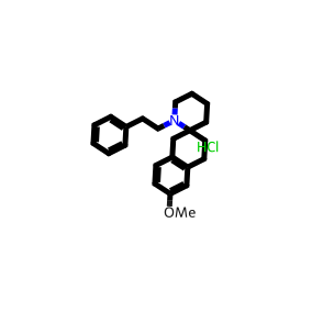 COc1ccc2c(c1)CCC1(CCCCN1CCc1ccccc1)C2.Cl